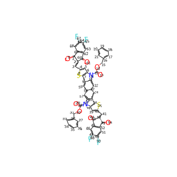 O=C1C(=Cc2cc3c(s2)c2c(n3C(=O)OCc3ccccc3)=CC3C=c4c(n(C(=O)OCc5ccccc5)c5cc(C=C6C(=O)c7cc(F)c(F)cc7C6=O)sc45)=CC3C=2)C(=O)c2cc(F)c(F)cc21